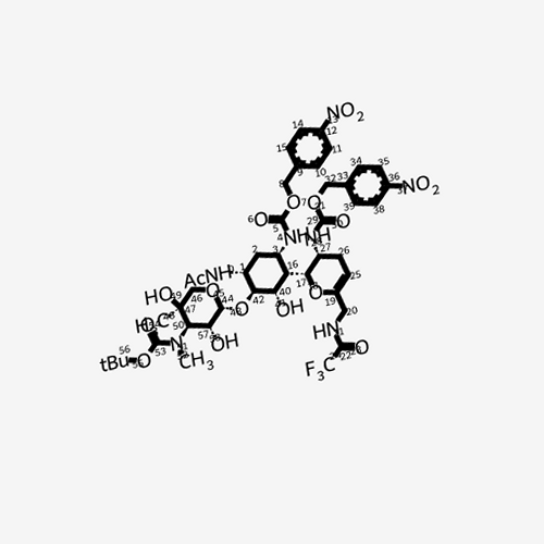 CC(=O)N[C@@H]1C[C@H](NC(=O)OCc2ccc([N+](=O)[O-])cc2)C([C@H]2OC(CNC(=O)C(F)(F)F)=CC[C@H]2NC(=O)OCc2ccc([N+](=O)[O-])cc2)[C@H](O)[C@H]1O[C@H]1OC[C@](C)(O)[C@H](N(C)C(=O)OC(C)(C)C)[C@H]1O